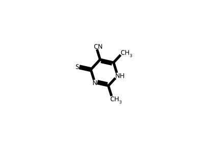 Cc1nc(=S)c(C#N)c(C)[nH]1